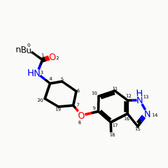 CCCCC(=O)NC1CCC(Oc2ccc3[nH]ncc3c2C)CC1